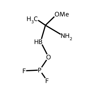 COC(C)(N)BOP(F)F